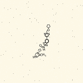 C[C@H]1CNCCN1[C@H]1C[C@@H](C(=O)Nc2nc3ccc(-c4cnc(COC5CCCC5)nc4)cc3s2)C1